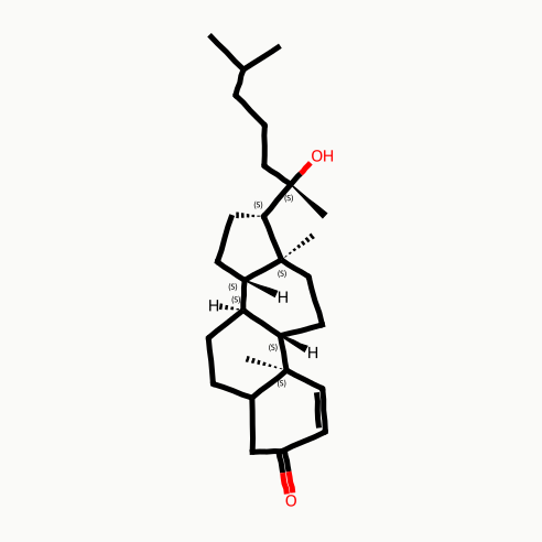 CC(C)CCC[C@](C)(O)[C@H]1CC[C@H]2[C@@H]3CCC4CC(=O)C=C[C@]4(C)[C@H]3CC[C@@]21C